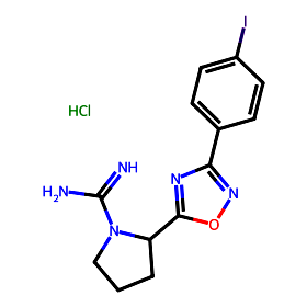 Cl.N=C(N)N1CCCC1c1nc(-c2ccc(I)cc2)no1